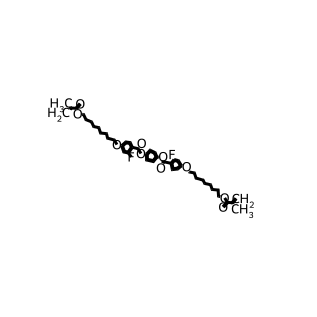 C=C(C)C(=O)OCCCCCCCCCOc1ccc(C(=O)Oc2ccc(OC(=O)c3ccc(OCCCCCCCCCOC(=O)C(=C)C)cc3F)cc2)c(F)c1